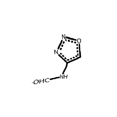 O=[C]Nc1conn1